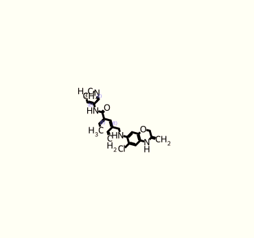 C=C/C(=C\C(=C/C)C(=O)NC(/C=N\C)=C/C)CNc1cc2c(cc1Cl)NC(=C)CO2